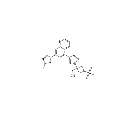 Cn1cc(-c2cc(-c3cnn(C4(CC#N)CN(S(C)(=O)=O)C4)n3)c3cccnc3c2)cn1